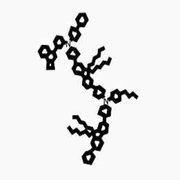 CCCCCCC1(CCCCCC)c2cc(-c3ccccc3)ccc2-c2ccc(-c3ccc(N(c4ccc(CCCC)cc4)c4ccc(-c5ccc6c(c5)C(CCCCCC)(CCCCCC)c5cc(-c7ccc(N(c8ccc(-c9ccccc9)cc8)c8cccc(-c9cc%10c(c%11ccccc9%11)CC%10)c8)cc7)ccc5-6)cc4)cc3)cc21